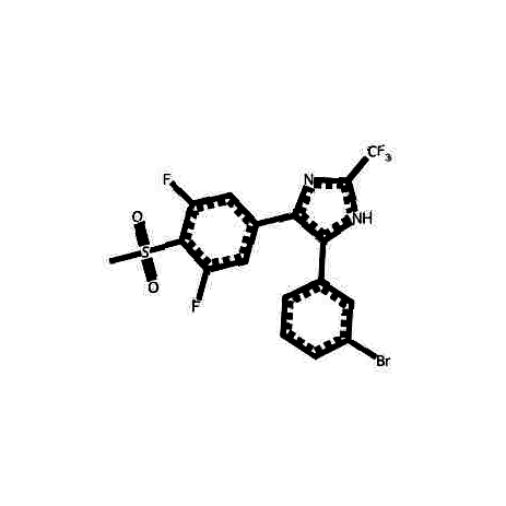 CS(=O)(=O)c1c(F)cc(-c2nc(C(F)(F)F)[nH]c2-c2cccc(Br)c2)cc1F